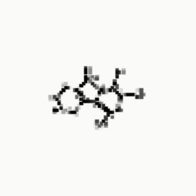 Fc1c(Cl)cc(Br)c2c3c([nH]c12)CCNC3